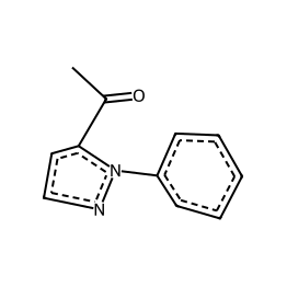 CC(=O)c1ccnn1-c1ccccc1